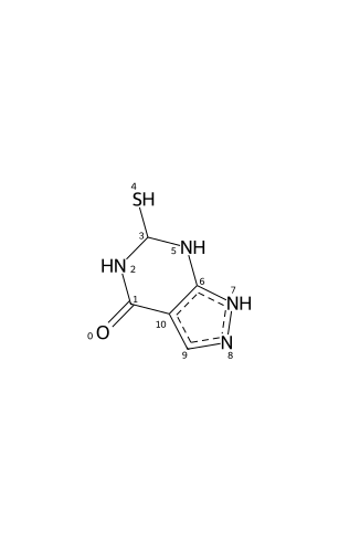 O=C1NC(S)Nc2[nH]ncc21